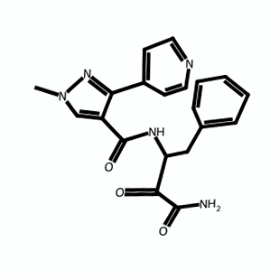 Cn1cc(C(=O)NC(Cc2ccccc2)C(=O)C(N)=O)c(-c2ccncc2)n1